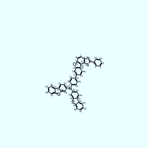 c1ccc(-c2nc3ccc4oc5cc(-c6ccc(N(c7ccc8c(c7)oc7ccccc78)c7ccc8c(c7)sc7ccccc78)cc6)ccc5c4c3s2)cc1